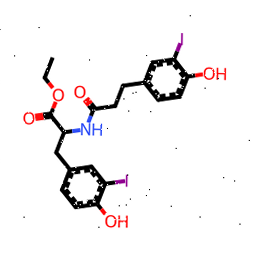 CCOC(=O)C(Cc1ccc(O)c(I)c1)NC(=O)CCc1ccc(O)c(I)c1